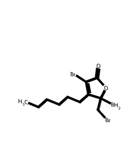 BC1(CBr)OC(=O)C(Br)=C1CCCCCC